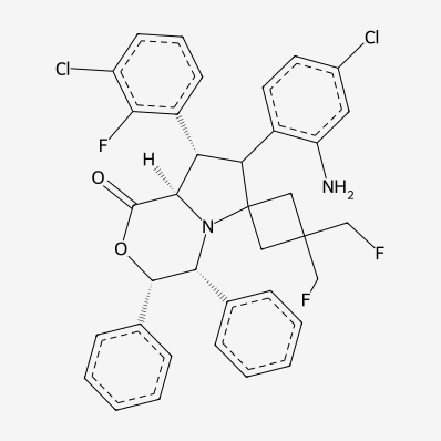 Nc1cc(Cl)ccc1C1[C@@H](c2cccc(Cl)c2F)[C@@H]2C(=O)O[C@@H](c3ccccc3)[C@@H](c3ccccc3)N2C12CC(CF)(CF)C2